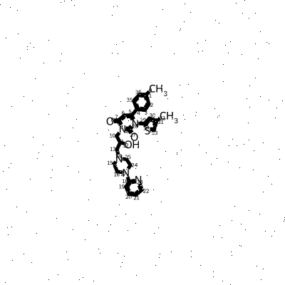 Cc1ccc(-c2cc(=O)n(CC(O)CN3CCN(c4ccccn4)CC3)c(=O)n2-c2cc(C)cs2)cc1